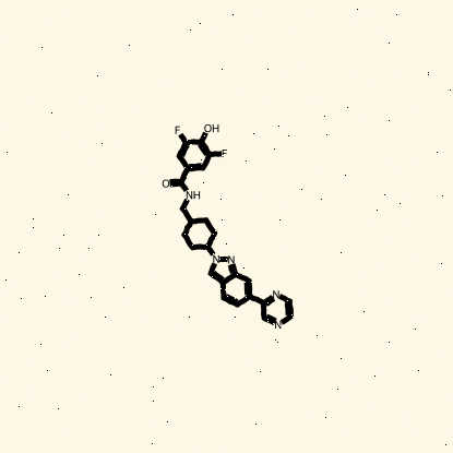 O=C(NCC1CCC(n2cc3ccc(-c4cnccn4)cc3n2)CC1)c1cc(F)c(O)c(F)c1